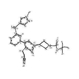 Cn1cc(Nc2nccc(-c3cn(C4CN(C(=O)OC(C)(C)C)C4)nc3CC#N)n2)cn1